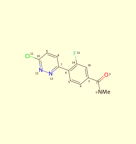 CNC(=O)c1ccc(-c2ccc(Cl)nn2)c(F)c1